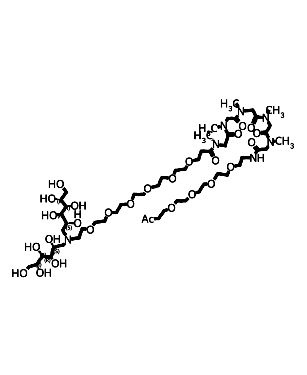 CC(=O)CCOCCOCCOCCOCCNC(=O)CN(C)C(=O)CN(C)C(=O)CN(C)C(=O)CN(C)C(=O)CN(C)C(=O)CCOCCOCCOCCOCCOCCOCCN(C[C@H](O)[C@@H](O)[C@H](O)[C@H](O)CO)C[C@H](O)[C@@H](O)[C@H](O)[C@H](O)CO